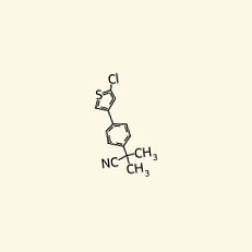 CC(C)(C#N)c1ccc(-c2csc(Cl)c2)cc1